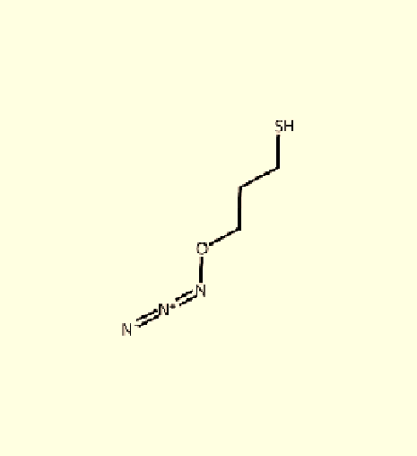 [N-]=[N+]=NOCCCS